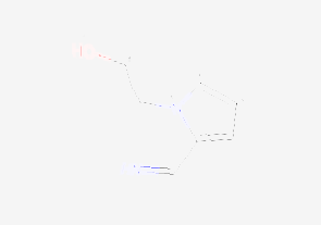 N=Cc1cccn1CCO